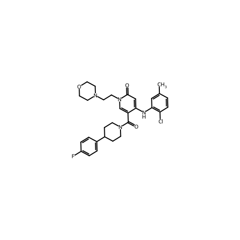 Cc1ccc(Cl)c(Nc2cc(=O)n(CCN3CCOCC3)cc2C(=O)N2CCC(c3ccc(F)cc3)CC2)c1